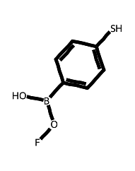 OB(OF)c1ccc(S)cc1